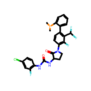 CP(C)c1ccccc1-c1ccc(N2CCC(NC(=O)Nc3ccc(Cl)cc3F)C2=O)c(F)c1C(F)F